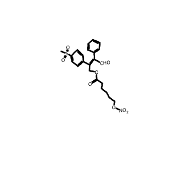 CS(=O)(=O)c1ccc(C(COC(=O)CCCCCO[N+](=O)[O-])=C(C=O)c2ccccc2)cc1